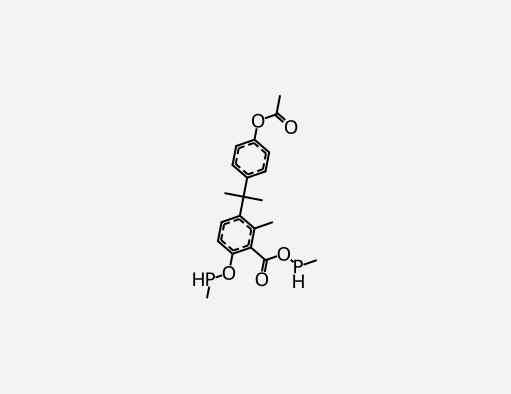 CPOC(=O)c1c(OPC)ccc(C(C)(C)c2ccc(OC(C)=O)cc2)c1C